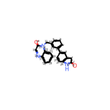 O=C1Cc2cc(-c3cccc(Cn4c(=O)cnc5ccccc54)c3)ccc2N1